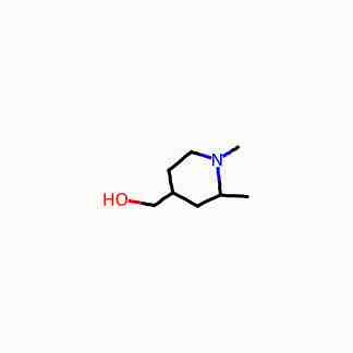 CC1CC(CO)CCN1C